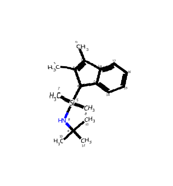 CC1=C(C)C([Si](C)(C)NC(C)(C)C)c2ccccc21